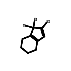 CCC1=CC2=C(CCCC2)[C]1([Ti])CC